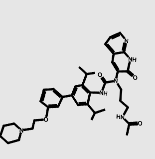 CC(=O)NCCCN(C(=O)Nc1c(C(C)C)cc(-c2cccc(OCCN3CCCCC3)c2)cc1C(C)C)c1cc2cccnc2[nH]c1=O